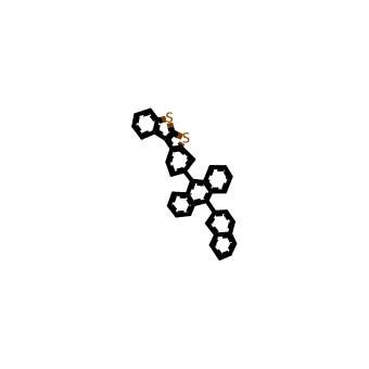 c1ccc2cc(-c3c4ccccc4c(-c4ccc5c(c4)sc4sc6ccccc6c45)c4ccccc34)ccc2c1